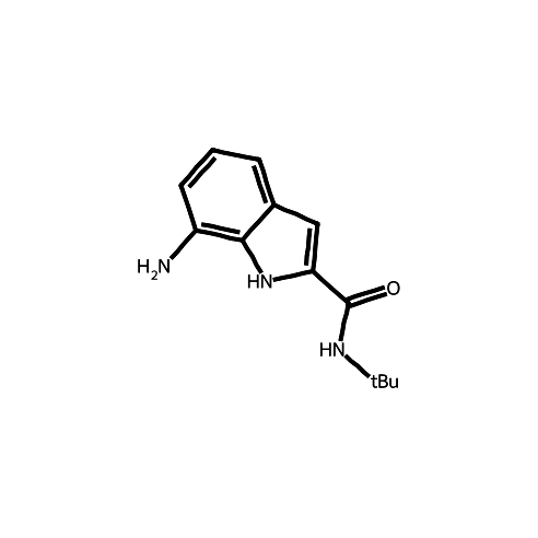 CC(C)(C)NC(=O)c1cc2cccc(N)c2[nH]1